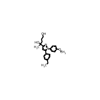 CCc1ccc(-c2cc(C(C)(O)CCCO)nn2-c2ccc(OC)cc2)cc1